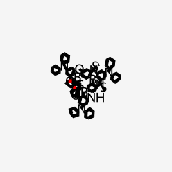 CSN1c2cc3c(cc2B2c4cc5c(cc4N(SC)c4cc(N(c6ccccc6)c6ccccc6)cc1c42)Oc1cc(N(c2ccccc2)c2ccccc2)cc2c1B5c1sc4ccccc4c1O2)B1c2sc4ccccc4c2Oc2cc(N(c4ccccc4)c4ccccc4)cc(c21)N3